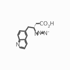 [N-]=[N+]=N[C@@H](CC(=O)O)Cc1ccc2ncccc2c1